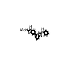 CNc1nc2cc(-c3cccc4nc(Nc5ccccc5)nn34)ccc2[nH]1